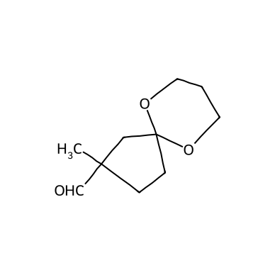 CC1(C=O)CCC2(C1)OCCCO2